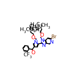 C[Si](C)(C)CCOCn1cc(C(=O)c2ccccc2C(F)(F)F)cc1-c1nc2cnc(Br)cc2n1COCC[Si](C)(C)C